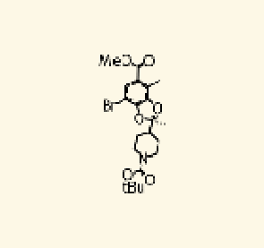 COC(=O)c1cc(Br)c2c(c1C)O[C@@](C)(C1CCN(C(=O)OC(C)(C)C)CC1)O2